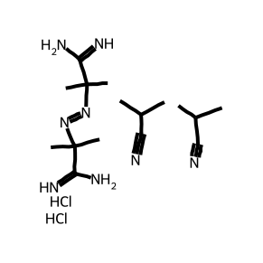 CC(C)(N=NC(C)(C)C(=N)N)C(=N)N.CC(C)C#N.CC(C)C#N.Cl.Cl